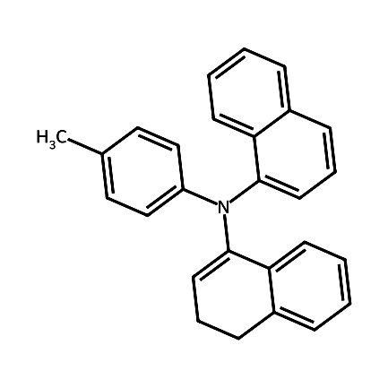 Cc1ccc(N(C2=CCCc3ccccc32)c2cccc3ccccc23)cc1